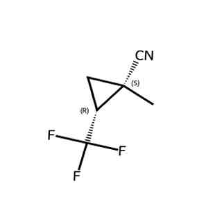 C[C@]1(C#N)C[C@H]1C(F)(F)F